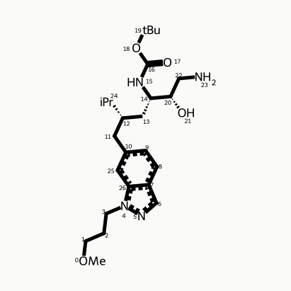 COCCCn1ncc2ccc(C[C@@H](C[C@H](NC(=O)OC(C)(C)C)[C@@H](O)CN)C(C)C)cc21